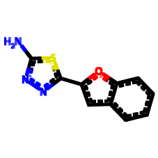 Nc1nnc(-c2cc3ccccc3o2)s1